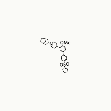 COc1ccc(-c2ccc(S(=O)(=O)N3CCCC3)cc2)cc1C1CCN(C2CC3CCC(C3)C2)CC1